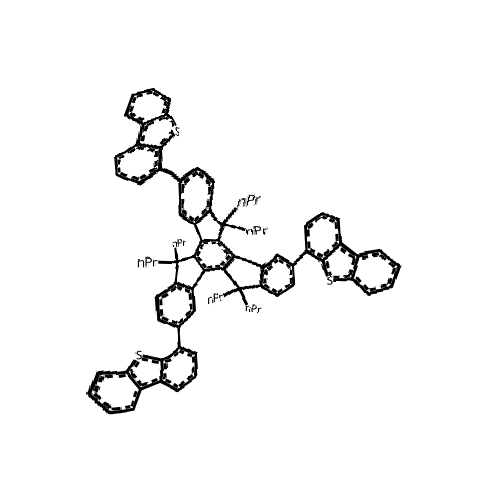 CCCC1(CCC)c2ccc(-c3cccc4c3sc3ccccc34)cc2-c2c1c1c(c3c2C(CCC)(CCC)c2ccc(-c4cccc5c4sc4ccccc45)cc2-3)C(CCC)(CCC)c2ccc(-c3cccc4c3sc3ccccc34)cc2-1